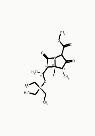 CC[Si](CC)(CC)O[C@H](C)[C@H]1C(=O)N2C(C(=O)OP)C(=O)[C@H](C)[C@H]12